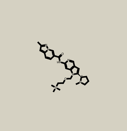 Cc1cc2ccc(C(=O)Nc3cc4c(cn3)cc([C@H]3CCCN3C)n4COCC[Si](C)(C)C)cn2n1